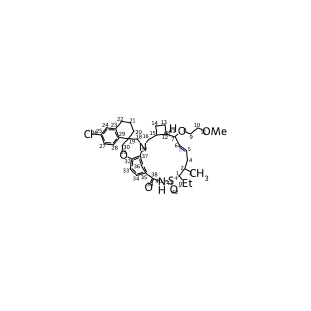 CCC1C(C)C/C=C/C(OCCOC)[C@@H]2CCC2CN2CC3(CCCc4cc(Cl)ccc43)COc3ccc(cc32)C(=O)N[S+]1[O-]